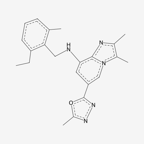 CCc1cccc(C)c1CNc1cc(-c2nnc(C)o2)cn2c(C)c(C)nc12